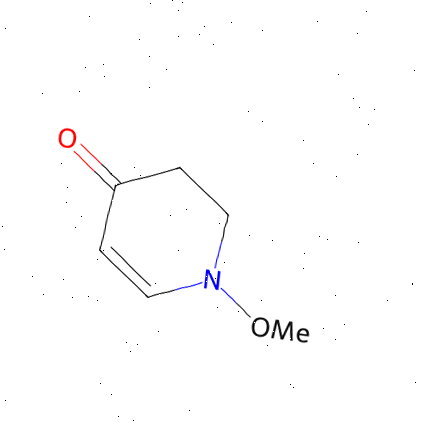 CON1C=CC(=O)CC1